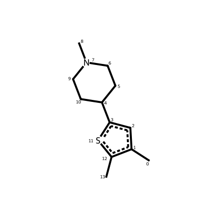 Cc1cc(C2CCN(C)CC2)sc1C